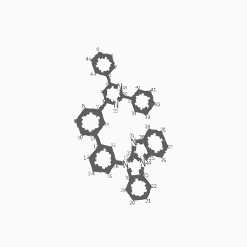 c1ccc(-c2cc(-c3cccc(-c4cccc(-n5c6ccccc6n6c7ccccc7nc56)c4)c3)nc(-c3ccccc3)n2)cc1